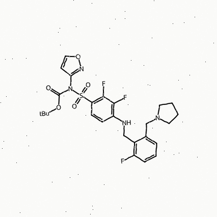 CC(C)(C)OC(=O)N(c1ccon1)S(=O)(=O)c1ccc(NCc2c(F)cccc2CN2CCCC2)c(F)c1F